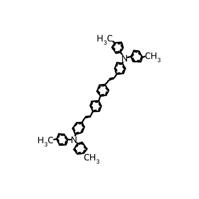 Cc1ccc(N(c2ccc(C)cc2)c2ccc(C=Cc3ccc(-c4ccc(C=Cc5ccc(N(c6ccc(C)cc6)c6ccc(C)cc6)cc5)cc4)cc3)cc2)cc1